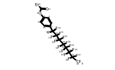 CCC(=O)Oc1ccc(C(F)(F)C(F)(F)C(F)(F)C(F)(F)C(F)(F)C(F)(F)C(F)(F)C(F)(F)F)cc1